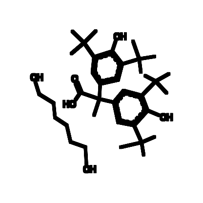 CC(C)(C)c1cc(C(C)(C(=O)O)c2cc(C(C)(C)C)c(O)c(C(C)(C)C)c2)cc(C(C)(C)C)c1O.OCCCCCCO